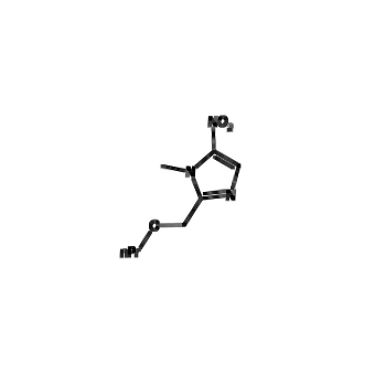 CCCOCc1ncc([N+](=O)[O-])n1C